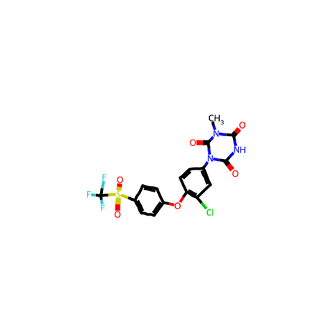 Cn1c(=O)[nH]c(=O)n(-c2ccc(Oc3ccc(S(=O)(=O)C(F)(F)F)cc3)c(Cl)c2)c1=O